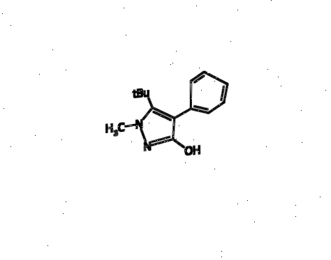 Cn1nc(O)c(-c2ccccc2)c1C(C)(C)C